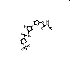 CC(C)NC(=O)O[C@@H]1CC[C@H](c2cc(NC(=O)[C@H]3CN(S(C)(=O)=O)C[C@@H]3C)n[nH]2)C1